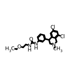 CCOCCNC(=O)Nc1cccc(C2CN(C)Cc3c(Cl)cc(Cl)cc32)c1